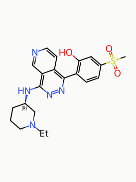 CCN1CCC[C@@H](Nc2nnc(-c3ccc(S(C)(=O)=O)cc3O)c3ccncc23)C1